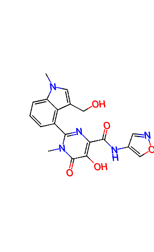 Cn1c(-c2cccc3c2c(CO)cn3C)nc(C(=O)Nc2cnoc2)c(O)c1=O